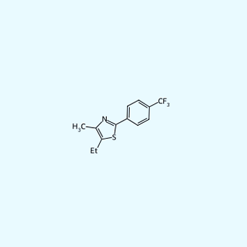 CCc1sc(-c2ccc(C(F)(F)F)cc2)nc1C